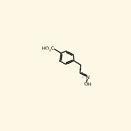 O=C(O)c1ccc(C/C=N/O)cc1